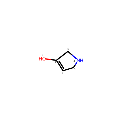 OC1=CCNC1